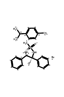 CS(=O)(=O)N[C@@](Cl)(c1ccccc1)[C@@H](N)c1ccccc1.Cc1ccc(C(C)C)cc1.[Ru]